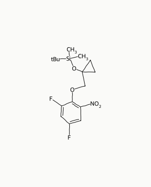 CC(C)(C)[Si](C)(C)OC1(COc2c(F)cc(F)cc2[N+](=O)[O-])CC1